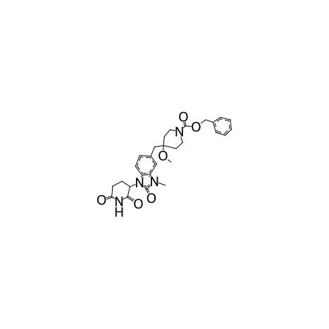 COC1(Cc2ccc3c(c2)n(C)c(=O)n3C2CCC(=O)NC2=O)CCN(C(=O)OCc2ccccc2)CC1